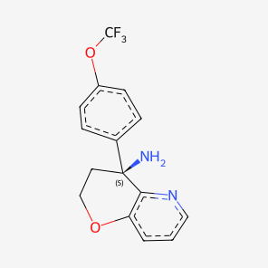 N[C@]1(c2ccc(OC(F)(F)F)cc2)CCOc2cccnc21